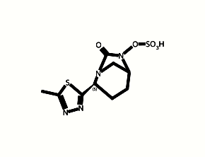 Cc1nnc([C@@H]2CCC3CN2C(=O)N3OS(=O)(=O)O)s1